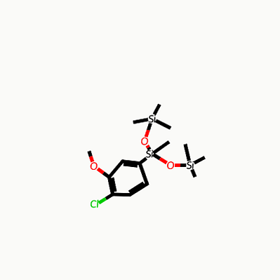 COc1cc([Si](C)(O[Si](C)(C)C)O[Si](C)(C)C)ccc1Cl